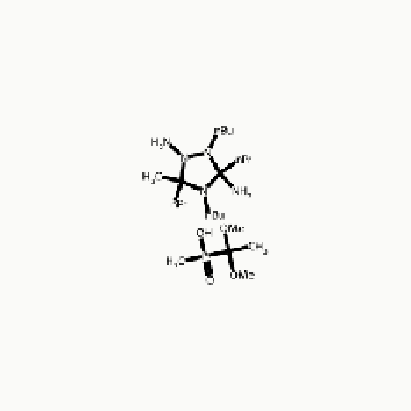 CCCCN1N(N)C(C)(CCC)N(CCCC)C1(N)CCC.COC(C)(OC)P(C)(=O)O